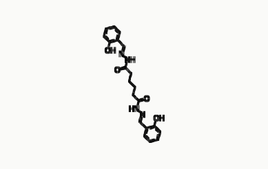 O=C(CCCCC(=O)N/N=C/c1ccccc1O)N/N=C/c1ccccc1O